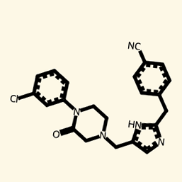 N#Cc1ccc(Cc2ncc(CN3CCN(c4cccc(Cl)c4)C(=O)C3)[nH]2)cc1